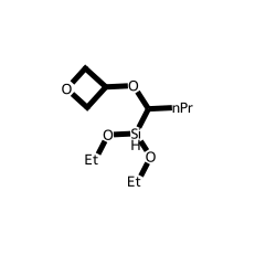 CCCC(OC1COC1)[SiH](OCC)OCC